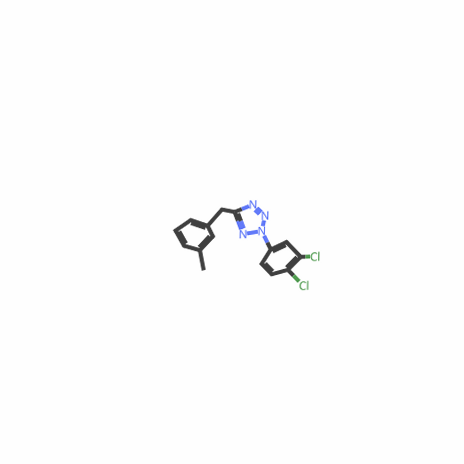 Cc1cccc(Cc2nnn(-c3ccc(Cl)c(Cl)c3)n2)c1